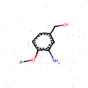 CC(C)Oc1ccc(CO)cc1N